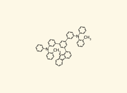 Cc1ccccc1N(c1ccccc1)c1cccc(-c2cc(-c3cccc(N(c4ccccc4)c4ccccc4C)c3)cc(-c3cccc4c3sc3ccccc34)c2)c1